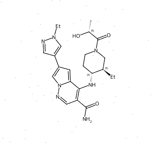 CC[C@@H]1CN(C(=O)[C@@H](C)O)CC[C@H]1Nc1c(C(N)=O)cnn2cc(-c3cnn(CC)c3)cc12